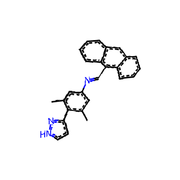 Cc1cc(N=Cc2c3ccccc3cc3ccccc23)cc(C)c1-c1cc[nH]n1